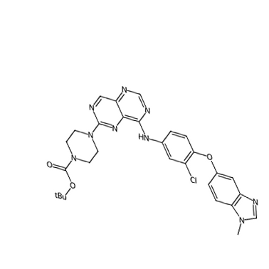 Cn1cnc2cc(Oc3ccc(Nc4ncnc5cnc(N6CCN(C(=O)OC(C)(C)C)CC6)nc45)cc3Cl)ccc21